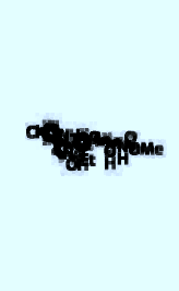 CCOC(O)N1CCc2c([nH]c3ccc(Cl)cc23)[C@@H]1c1ccc(OCCC(O)CNC(=O)OC)cc1